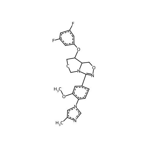 COc1cc(C2=NOCC3C(Oc4cc(F)cc(F)c4)CCCN23)ccc1-n1cnc(C)c1